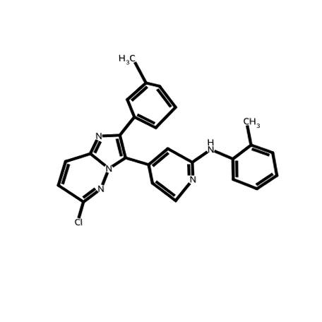 Cc1cccc(-c2nc3ccc(Cl)nn3c2-c2ccnc(Nc3ccccc3C)c2)c1